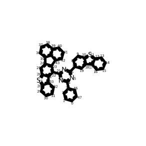 c1ccc(-c2nc(-c3ccc4sc5ccccc5c4c3)nc(-c3c4c(cc5sc6ccccc6c35)-c3cccc5cccc-4c35)n2)cc1